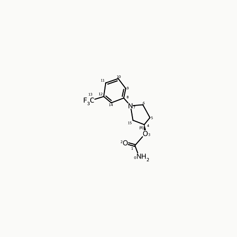 NC(=O)O[C@@H]1CCN(c2cccc(C(F)(F)F)c2)C1